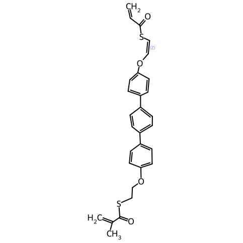 C=CC(=O)S/C=C\Oc1ccc(-c2ccc(-c3ccc(OCCSC(=O)C(=C)C)cc3)cc2)cc1